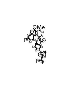 COC(=O)N1CCC[C@H](N2Cc3ccc(-c4nnc(C(F)F)o4)cc3C2=O)[C@H]1c1ccc(F)cc1